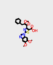 COc1cc2ncn(-c3nc(C4=C(Cc5ccccc5)OCO4)c(C(=O)O)s3)c2cc1OC